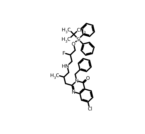 CC(CNCC(F)CO[Si](c1ccccc1)(c1ccccc1)C(C)(C)C)Cc1nc2cc(Cl)ccc2c(=O)n1Cc1ccccc1